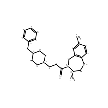 Cc1ccc2c(c1)CN(C(=O)CCN1CCC(Cc3ccccc3)CC1)[C@H](C)CO2